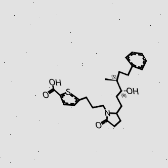 C[C@@H](CCc1ccccc1)[C@H](O)CCC1CCC(=O)N1CCCc1ccc(C(=O)O)s1